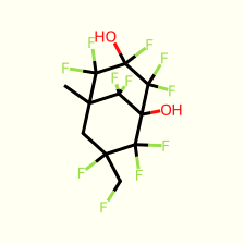 CC12CC(F)(CF)C(F)(F)C(O)(C(F)(F)C(O)(F)C1(F)F)C2(F)F